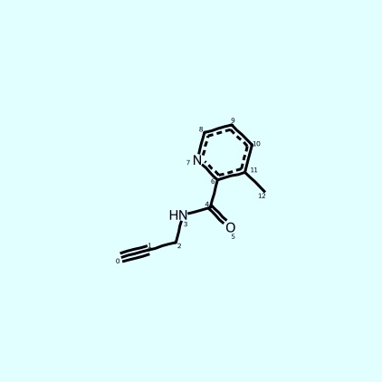 C#CCNC(=O)c1ncccc1C